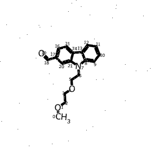 COCCOCCn1c2ccccc2c2ccc(C=O)cc21